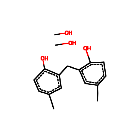 CO.CO.Cc1ccc(O)c(Cc2cc(C)ccc2O)c1